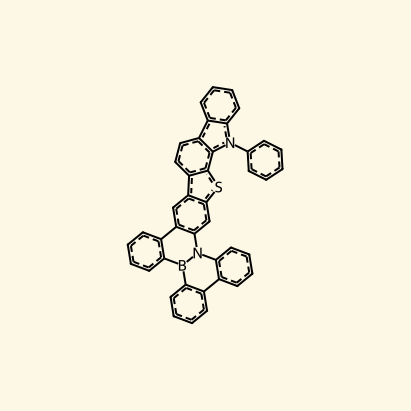 c1ccc(-n2c3ccccc3c3ccc4c5cc6c(cc5sc4c32)N2B(c3ccccc3-c3ccccc32)c2ccccc2-6)cc1